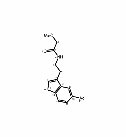 COCC(=O)NCCc1c[nH]c2ccc(C(C)=O)cc12